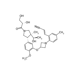 COc1ccc([C@@H]2CN(C(=O)[C@@H](O)CO)C[C@@]2(C)[C@@H](C)O)cc1OC1CN(c2ccc(C)cc2/C=C/C#N)C1